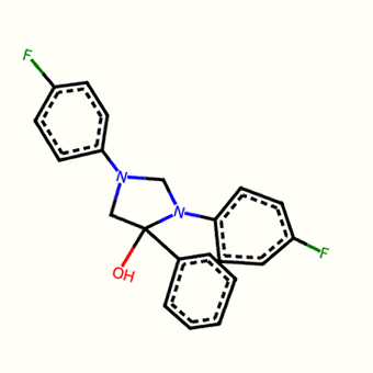 OC1(c2ccccc2)CN(c2ccc(F)cc2)CN1c1ccc(F)cc1